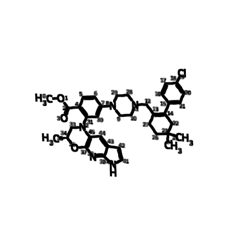 COC(=O)c1ccc(N2CCN(CC3=C(c4ccc(Cl)cc4)CC(C)(C)CC3)CC2)cc1N1C[C@H](C)Oc2nc3[nH]ccc3cc21